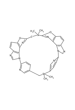 C[Si]1(C)Cc2ccc(nc2)-n2cnc3ccc4oc(nc4c32)C[Si](C)(C)c2nc3c(ccc4ncn(c43)-c3ccc1cn3)o2